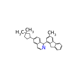 Cc1cc2c(c(-c3nccc4cc(C5CCC(C)(C)C5)ccc34)c1)Cc1ccccc1-2